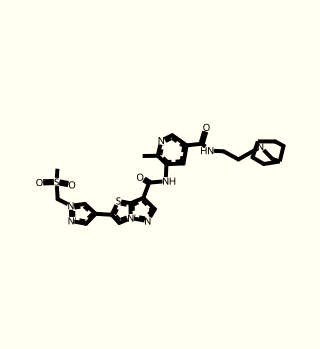 Cc1ncc(C(=O)NCCN2CC3CCC2CC3)cc1NC(=O)c1cnn2cc(-c3cnn(CS(C)(=O)=O)c3)sc12